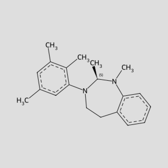 Cc1cc(C)c(C)c(N2CCc3ccccc3N(C)[C@@H]2C)c1